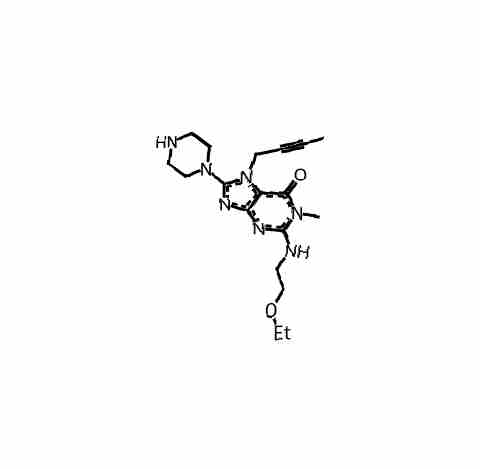 CC#CCn1c(N2CCNCC2)nc2nc(NCCOCC)n(C)c(=O)c21